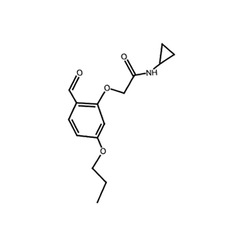 CCCOc1ccc(C=O)c(OCC(=O)NC2CC2)c1